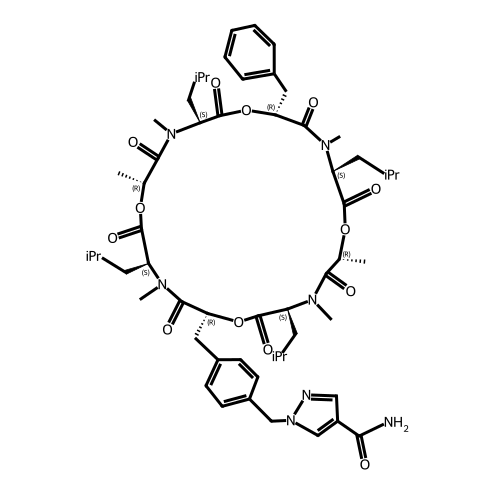 CC(C)C[C@H]1C(=O)O[C@H](Cc2ccc(Cn3cc(C(N)=O)cn3)cc2)C(=O)N(C)[C@@H](CC(C)C)C(=O)O[C@H](C)C(=O)N(C)[C@@H](CC(C)C)C(=O)O[C@H](Cc2ccccc2)C(=O)N(C)[C@@H](CC(C)C)C(=O)O[C@H](C)C(=O)N1C